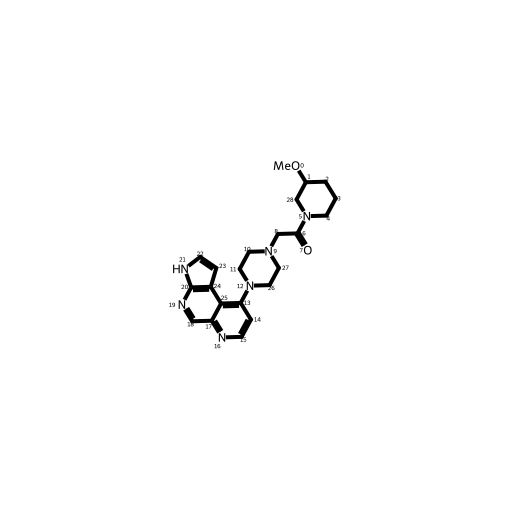 COC1CCCN(C(=O)CN2CCN(c3ccnc4cnc5[nH]ccc5c34)CC2)C1